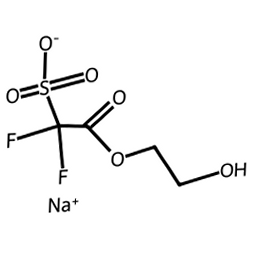 O=C(OCCO)C(F)(F)S(=O)(=O)[O-].[Na+]